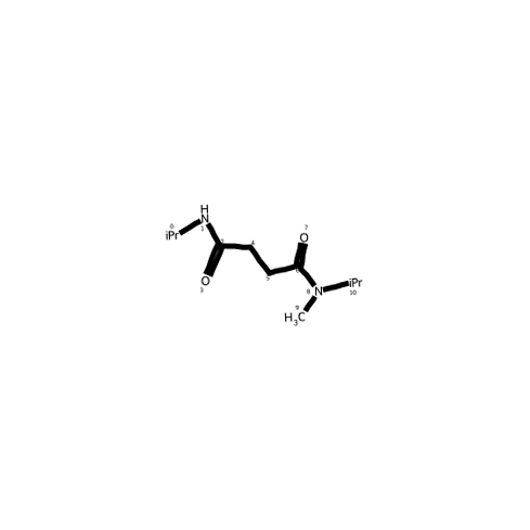 CC(C)NC(=O)CCC(=O)N(C)C(C)C